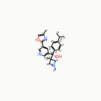 Cc1coc(-c2cncc([C@@](O)(c3ccc(C(C)C)cc3)C3(C)CN(C)C3)c2)n1